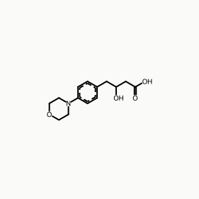 O=C(O)CC(O)Cc1ccc(N2CCOCC2)cc1